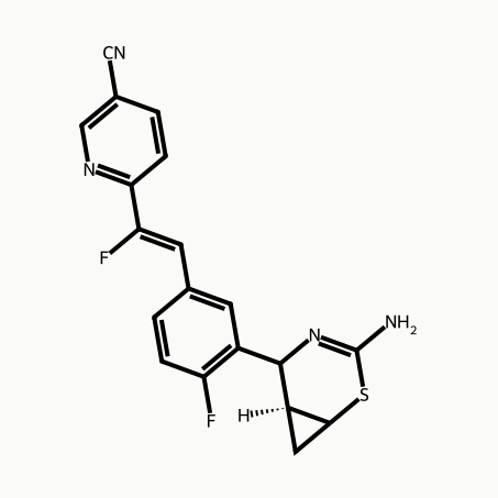 N#Cc1ccc(/C(F)=C/c2ccc(F)c(C3N=C(N)SC4C[C@H]43)c2)nc1